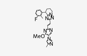 COc1nc(/C=C/c2nc3n(n2)CCCC3c2cccc(F)c2C)ncc1-n1cnc(C)c1